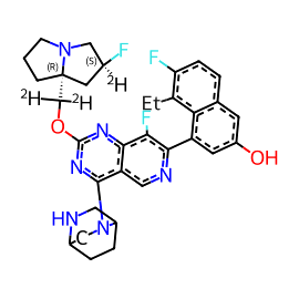 [2H]C([2H])(Oc1nc(N2CC3CCC2CN3)c2cnc(-c3cc(O)cc4ccc(F)c(CC)c34)c(F)c2n1)[C@]12CCCN1C[C@@]([2H])(F)C2